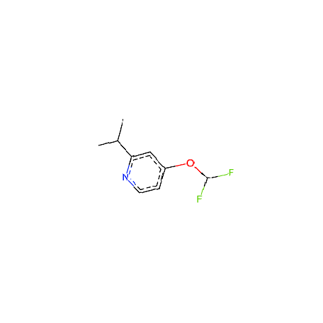 CC(C)c1cc(OC(F)F)ccn1